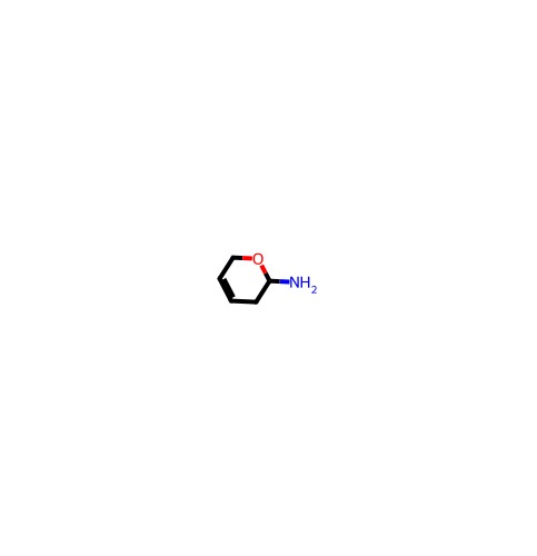 NC1CC=CCO1